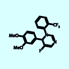 COc1ccc(C2C(F)=CN=CN2c2ccccc2C(F)(F)F)cc1OC